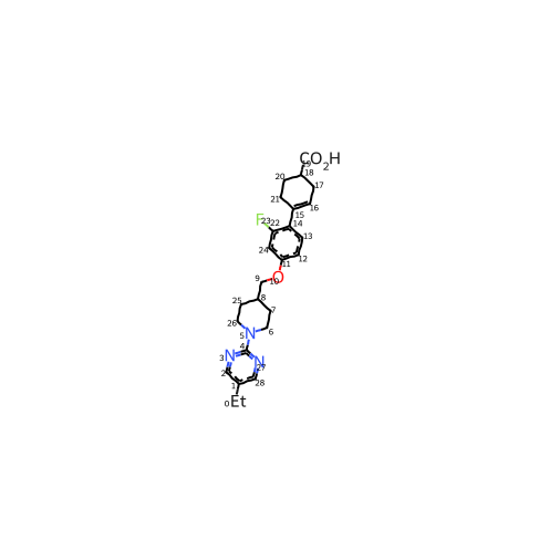 CCc1cnc(N2CCC(COc3ccc(C4=CCC(C(=O)O)CC4)c(F)c3)CC2)nc1